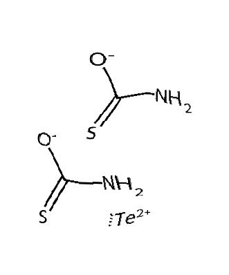 NC([O-])=S.NC([O-])=S.[Te+2]